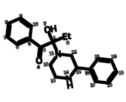 CCC(O)(C(=O)c1ccccc1)N1CCNC(c2ccccc2)C1